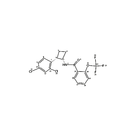 O=C(N[C@H]1CC[C@H]1c1ccc(Cl)cc1Cl)c1ccccc1OC(F)(F)F